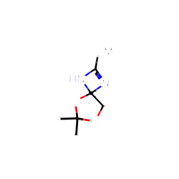 COC1=NC2(COC(C)(C)O2)N1